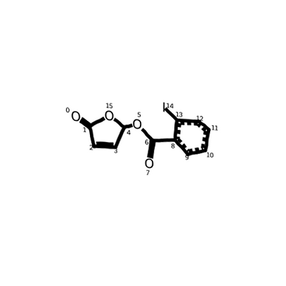 O=C1C=CC(OC(=O)c2ccccc2I)O1